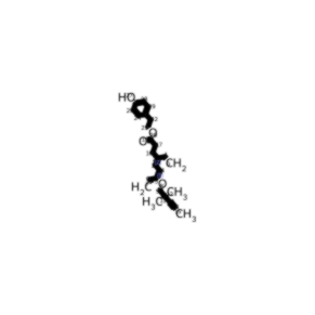 C=C/C(=C\C=C(/C=C)OCC(C)(C)C#CC)CCC(=O)OCCc1ccc(O)cc1